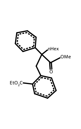 CCCCCCC(Cc1ccccc1C(=O)OCC)(C(=O)OC)c1ccccc1